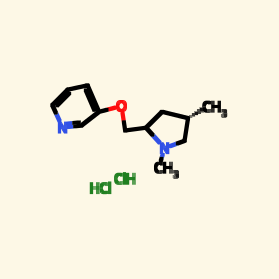 C[C@H]1CC(COc2cccnc2)N(C)C1.Cl.Cl